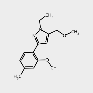 CCn1nc(-c2ccc(C)cc2OC)cc1COC